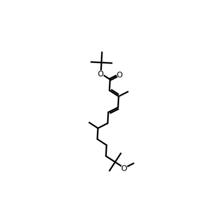 COC(C)(C)CCCC(C)CC=CC(C)=CC(=O)OC(C)(C)C